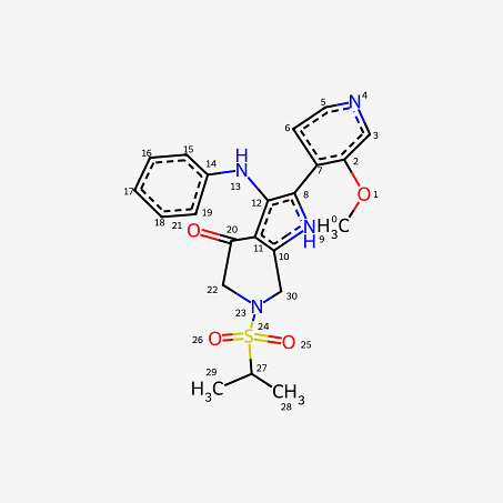 COc1cnccc1-c1[nH]c2c(c1Nc1ccccc1)C(=O)CN(S(=O)(=O)C(C)C)C2